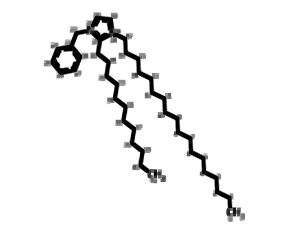 CCCCCCCCCCCCCCCCCC[n+]1ccn(Cc2ccccc2)c1CCCCCCCCCCCC